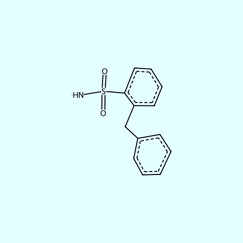 [NH]S(=O)(=O)c1ccccc1Cc1ccccc1